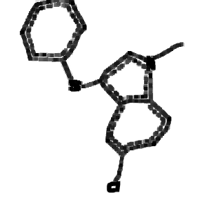 Cn1cc(Sc2ccccc2)c2cc(Cl)ccc21